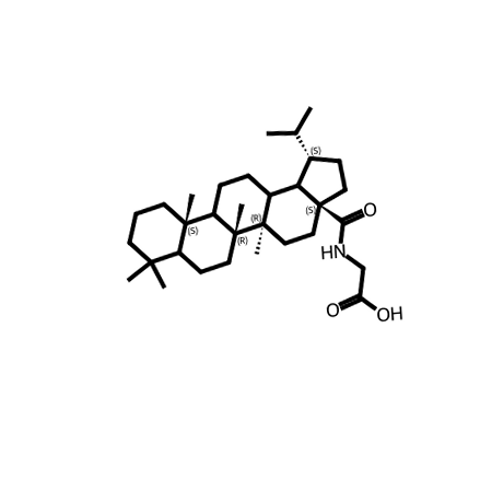 CC(C)[C@@H]1CC[C@]2(C(=O)NCC(=O)O)CC[C@]3(C)C(CCC4[C@@]5(C)CCCC(C)(C)C5CC[C@]43C)C12